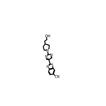 N#Cc1ccc2nc(-c3cnc(N4CCC(CCO)CC4)nc3)sc2c1